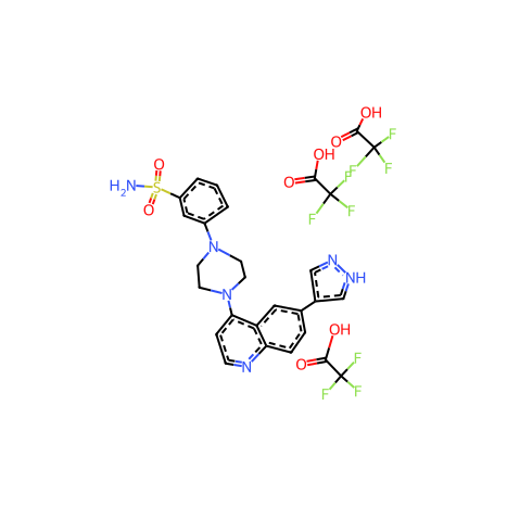 NS(=O)(=O)c1cccc(N2CCN(c3ccnc4ccc(-c5cn[nH]c5)cc34)CC2)c1.O=C(O)C(F)(F)F.O=C(O)C(F)(F)F.O=C(O)C(F)(F)F